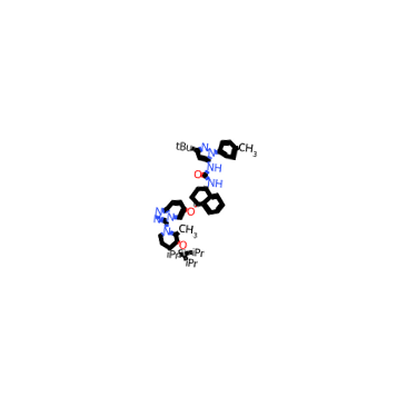 Cc1ccc(-n2nc(C(C)(C)C)cc2NC(=O)N[C@H]2CC[C@@H](Oc3ccc4nnc(N5CCCC(O[Si](C(C)C)(C(C)C)C(C)C)C5C)n4c3)c3ccccc32)cc1